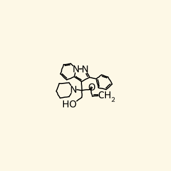 C=CC(=O)C(CO)(c1c(-c2ccccc2)nn2ccccc12)N1CCCCC1